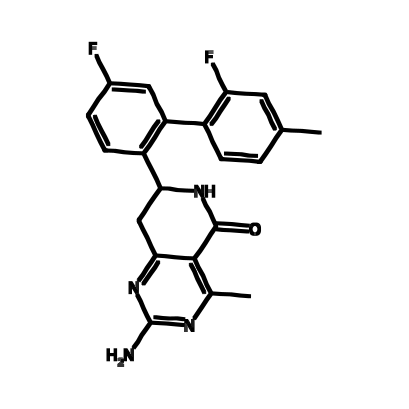 Cc1ccc(-c2cc(F)ccc2C2Cc3nc(N)nc(C)c3C(=O)N2)c(F)c1